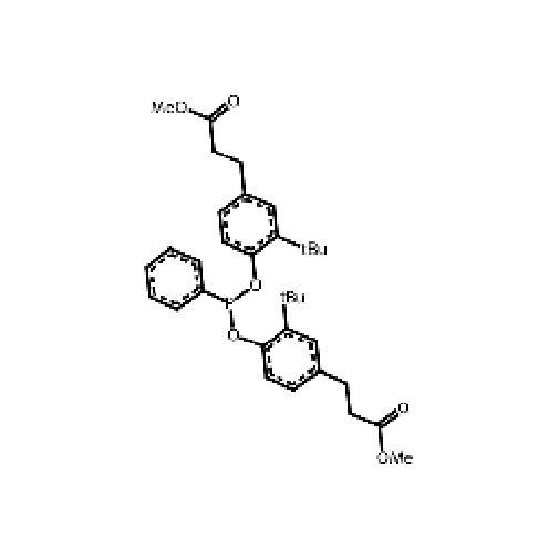 COC(=O)CCc1ccc(OP(Oc2ccc(CCC(=O)OC)cc2C(C)(C)C)c2ccccc2)c(C(C)(C)C)c1